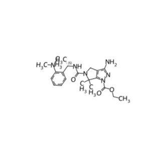 CCOC(=O)n1nc(N)c2c1C(C)(C)N(C(=O)N[C@@H](C)c1ccccc1N(C)C)C2